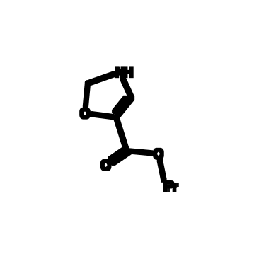 CC(C)OC(=O)C1=CNCO1